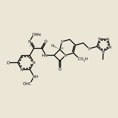 CO/N=C(\C(=O)NC1C(=O)N2C(C(=O)O)=C(CSc3nnnn3C)CS[C@H]12)c1cc(Cl)nc(NC=O)n1